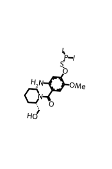 COc1cc(C(=O)N2CCCC[C@H]2CO)c(N)cc1OSP(I)I